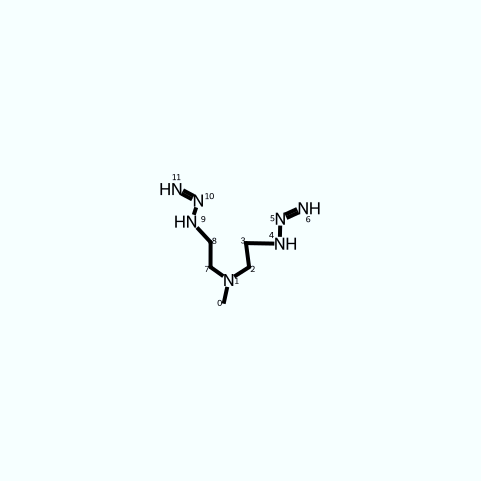 CN(CCNN=N)CCNN=N